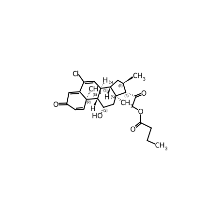 CCCC(=O)OCC(=O)[C@H]1[C@H](C)C[C@H]2[C@@H]3C=C(Cl)C4=CC(=O)C=C[C@]4(C)[C@H]3[C@@H](O)C[C@@]21C